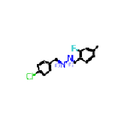 Cc1ccc(/C=N/N=C/c2ccc(Cl)cc2)c(F)c1